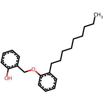 CCCCCCCCCc1ccccc1OCc1ccccc1O